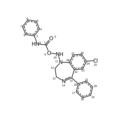 O=C(Nc1ccccc1)ONN1CCN=C(c2ccccc2)c2cc(Cl)ccc21